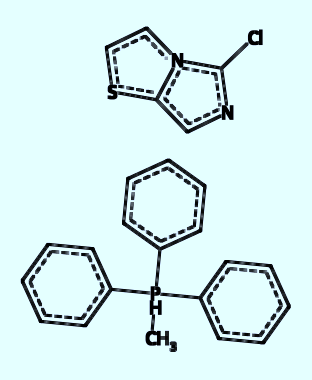 C[PH](c1ccccc1)(c1ccccc1)c1ccccc1.Clc1ncc2sccn12